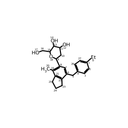 CCc1ccc(Cc2cc(C3CC(O)C(O)C(CO)O3)c(C)c3c2CCC3)cc1